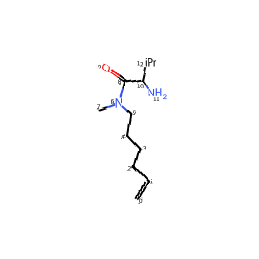 C=CCCCCN(C)C(=O)C(N)C(C)C